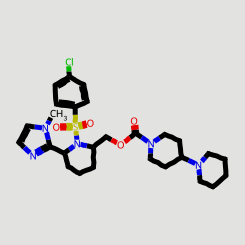 Cn1ccnc1C1CCCC(COC(=O)N2CCC(N3CCCCC3)CC2)N1S(=O)(=O)c1ccc(Cl)cc1